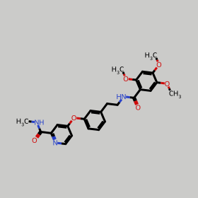 CNC(=O)c1cc(Oc2cccc(CCNC(=O)c3cc(OC)c(OC)cc3OC)c2)ccn1